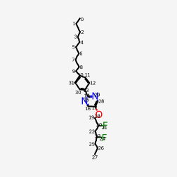 CCCCCCCCCCc1ccc(-c2ncc(OCC(F)CC(F)CCC)cn2)cc1